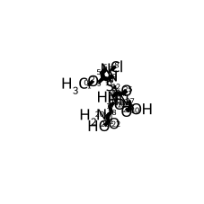 CCOCc1cnc(Cl)nc1SC[C@H](NC(=O)CC[C@H](N)C(=O)O)C(=O)NCC(=O)O